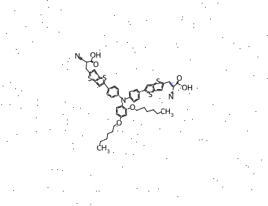 CCCCCCOc1ccc(N(c2ccc(-c3cc4sc(/C=C(\C#N)C(=O)O)cc4s3)cc2)c2ccc(-c3cc4sc(CC(C#N)C(=O)O)cc4s3)cc2)c(OCCCCCC)c1